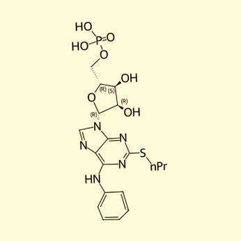 CCCSc1nc(Nc2ccccc2)c2ncn([C@@H]3O[C@H](COP(=O)(O)O)[C@@H](O)[C@H]3O)c2n1